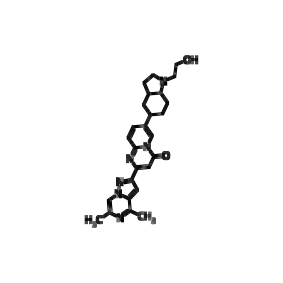 Cc1cn2nc(-c3cc(=O)n4cc(C5CCC6C(CCN6CCO)C5)ccc4n3)cc2c(C)n1